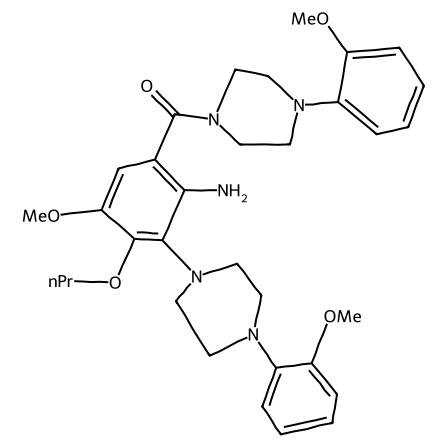 CCCOc1c(OC)cc(C(=O)N2CCN(c3ccccc3OC)CC2)c(N)c1N1CCN(c2ccccc2OC)CC1